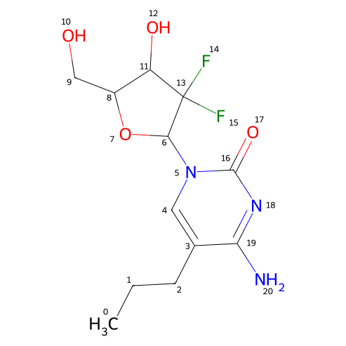 CCCc1cn(C2OC(CO)C(O)C2(F)F)c(=O)nc1N